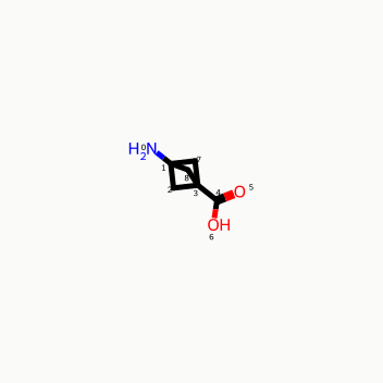 NC12CC(C(=O)O)(C1)C2